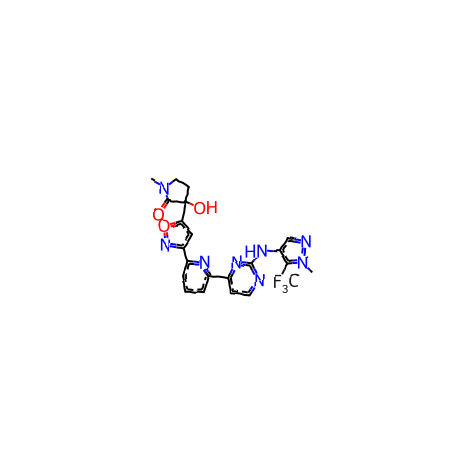 CN1CCC(O)(c2cc(-c3cccc(-c4ccnc(Nc5cnn(C)c5C(F)(F)F)n4)n3)no2)C1=O